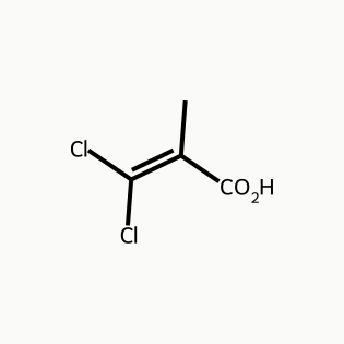 CC(C(=O)O)=C(Cl)Cl